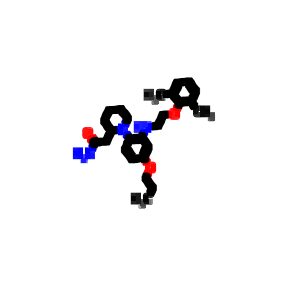 CCCOc1ccc(N2CCCCC2CC(N)=O)c(NCCOc2c(C)cccc2C)c1